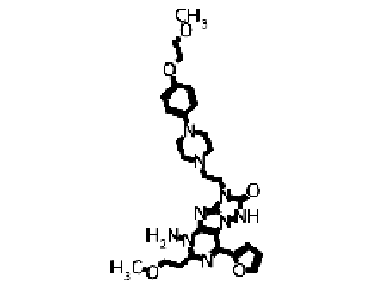 COCCOc1ccc(N2CCN(CCn3c(=O)[nH]n4c5c(nc34)N(N)C(CCOC)N=C5c3ccco3)CC2)cc1